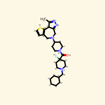 CC1=NN=C2CN(C3CCN(C(=O)C4(F)CCN(CC5CCCCC5)CC4)CC3)Cc3ccsc3C12